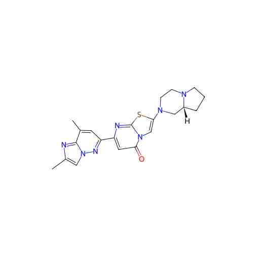 Cc1cn2nc(-c3cc(=O)n4cc(N5CCN6CCC[C@@H]6C5)sc4n3)cc(C)c2n1